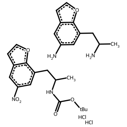 CC(Cc1cc([N+](=O)[O-])cc2ccoc12)NC(=O)OC(C)(C)C.CC(N)Cc1cc(N)cc2ccoc12.Cl.Cl